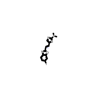 CN(C)c1ncc(/C=C/c2nc3ccc(I)cc3o2)s1